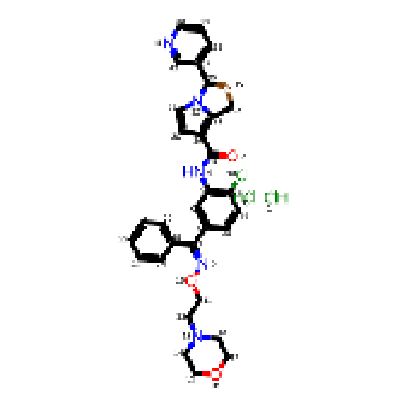 Cl.Cl.O=C(Nc1cc(C(=NOCCN2CCOCC2)c2ccccc2)ccc1Cl)c1ccn2c1CSC2c1cccnc1